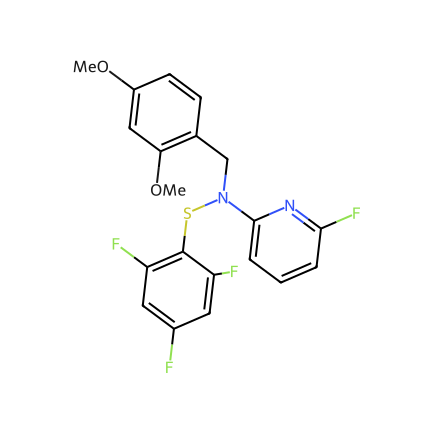 COc1ccc(CN(Sc2c(F)cc(F)cc2F)c2cccc(F)n2)c(OC)c1